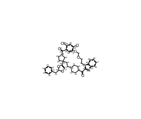 CCOCCn1c(C(=O)C2CCN(CCC3(C4=COC(Cc5ccccc5)O4)CCN(C(=O)c4ccc(Cl)cc4Cl)C3)CC2)nc2ccccc21